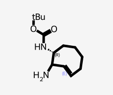 CC(C)(C)OC(=O)N[C@@H]1CCCC/C=C/C1N